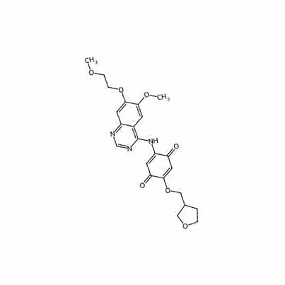 COCCOc1cc2ncnc(NC3=CC(=O)C(OCC4CCOC4)=CC3=O)c2cc1OC